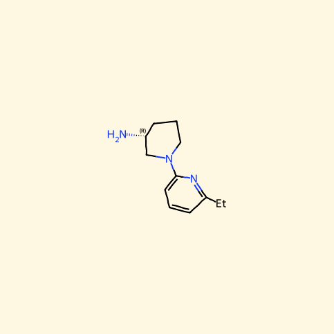 CCc1cccc(N2CCC[C@@H](N)C2)n1